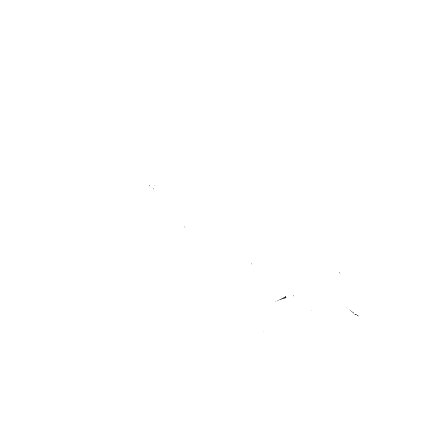 CN[C@@H](C)C(=O)N[C@H](C(=O)N1CCC[C@H]1CN(CCc1ccccc1)C(=O)[C@H](N)Cc1ccc(F)cc1)C(C)(C)C